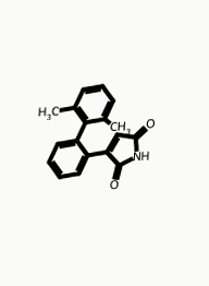 Cc1cccc(C)c1-c1ccccc1C1=CC(=O)NC1=O